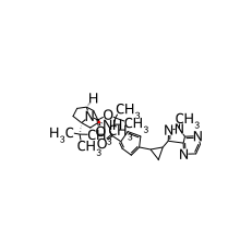 Cn1nc(C2CC2c2ccc(C(=O)N[C@H]3C[C@@H]4CC[C@](C(C)(C)C)(C3)N4C(=O)OC(C)(C)C)cc2)c2nccnc21